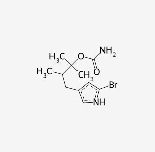 CC(Cc1c[nH]c(Br)c1)C(C)(C)OC(N)=O